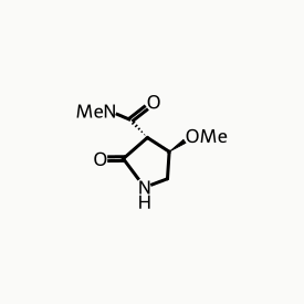 CNC(=O)[C@H]1C(=O)NC[C@@H]1OC